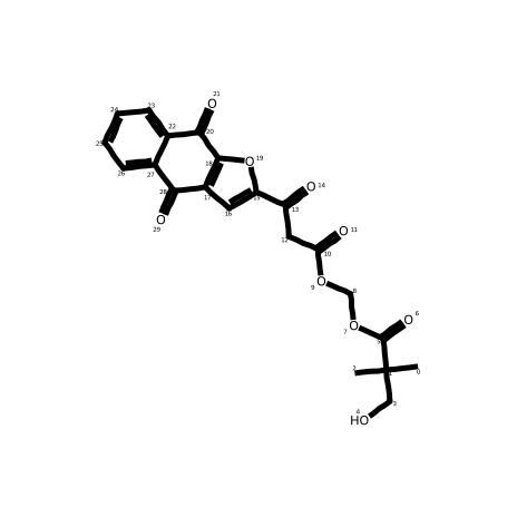 CC(C)(CO)C(=O)OCOC(=O)CC(=O)c1cc2c(o1)C(=O)c1ccccc1C2=O